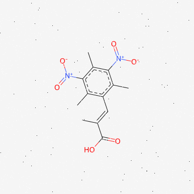 CC(=Cc1c(C)c([N+](=O)[O-])c(C)c([N+](=O)[O-])c1C)C(=O)O